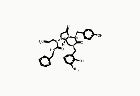 C=CCN(C(=O)NCc1ccccc1)N1CC(=O)N2[C@@H](Cc3ccc(O)cc3)C(=O)N(Cc3cccc(N)c3S)C[C@@H]21